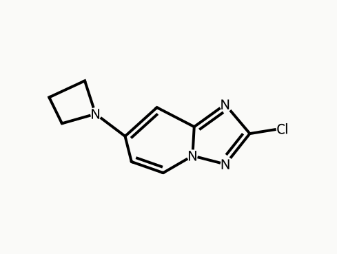 Clc1nc2cc(N3CCC3)ccn2n1